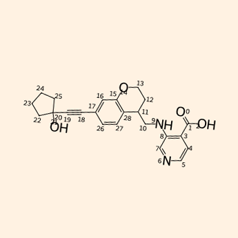 O=C(O)c1ccncc1NCC1CCOc2cc(C#CC3(O)CCCC3)ccc21